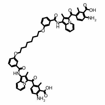 Cc1c(C(=O)c2c(C)c(NC(=O)c3cccc(OCCCCCCCCOc4cccc(C(=O)Nc5c(C)c(C(=O)c6ccc(N)c(C(=O)O)c6C)n6ccccc56)c4)c3)c3ccccn23)ccc(N)c1C(=O)O